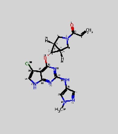 C=CC(=O)N1C[C@@H]2[C@H](C1)[C@@H]2Oc1nc(Nc2cnn(C)c2)nc2[nH]cc(Cl)c12